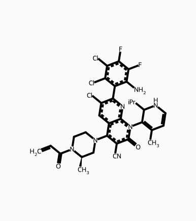 C=CC(=O)N1CCN(c2c(C#N)c(=O)n(C3=C(C)C=CNC3C(C)C)c3nc(-c4c(N)c(F)c(F)c(Cl)c4Cl)c(Cl)cc23)C[C@H]1C